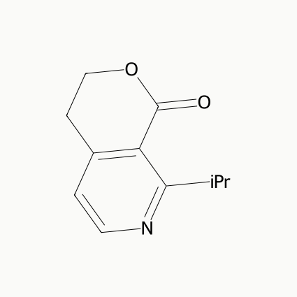 CC(C)c1nccc2c1C(=O)OCC2